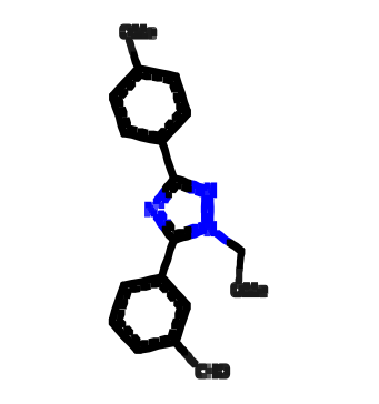 COCn1nc(-c2ccc(OC)cc2)nc1-c1cccc(C=O)c1